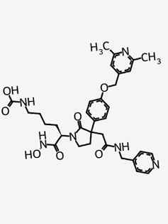 Cc1cc(COc2ccc(C3(CC(=O)NCc4ccncc4)CCN([C@H](CCCCNC(=O)O)C(=O)NO)C3=O)cc2)cc(C)n1